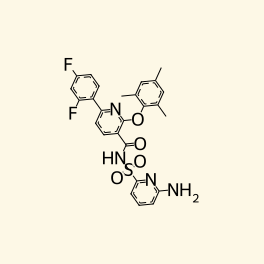 Cc1cc(C)c(Oc2nc(-c3ccc(F)cc3F)ccc2C(=O)NS(=O)(=O)c2cccc(N)n2)c(C)c1